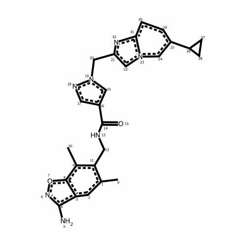 Cc1cc2c(N)noc2c(C)c1CNC(=O)c1cnn(Cc2cn3cc(C4CC4)ccc3n2)c1